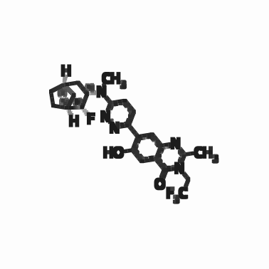 Cc1nc2cc(-c3ccc(N(C)[C@H]4C[C@@H]5CC[C@@H](C5)[C@H]4F)nn3)c(O)cc2c(=O)n1CC(F)(F)F